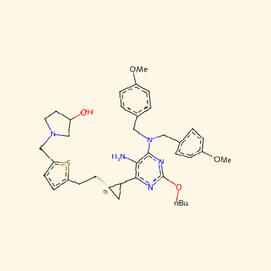 CCCCOc1nc(C2C[C@@H]2CCc2ccc(CN3CCC(O)C3)s2)c(N)c(N(Cc2ccc(OC)cc2)Cc2ccc(OC)cc2)n1